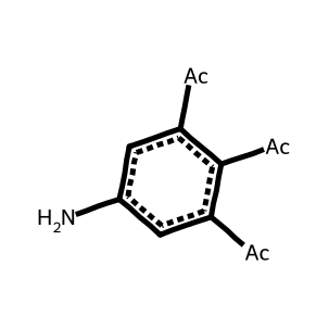 CC(=O)c1cc(N)cc(C(C)=O)c1C(C)=O